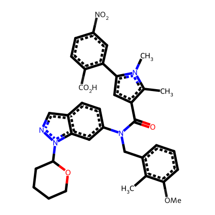 COc1cccc(CN(C(=O)c2cc(-c3cc([N+](=O)[O-])ccc3C(=O)O)n(C)c2C)c2ccc3cnn(C4CCCCO4)c3c2)c1C